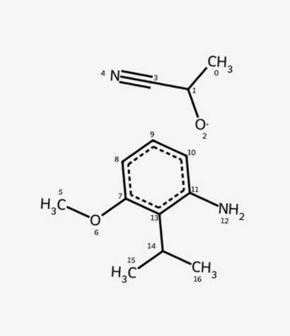 CC([O])C#N.COc1cccc(N)c1C(C)C